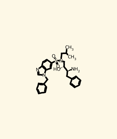 CC(C)CN(C[C@@H](O)[C@@H](N)Cc1ccccc1)S(=O)(=O)c1ccc2ncn(Cc3ccccc3)c2c1